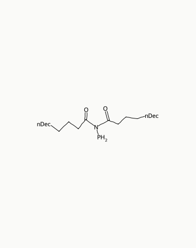 CCCCCCCCCCCCCC(=O)N(P)C(=O)CCCCCCCCCCCCC